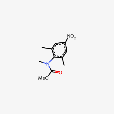 COC(=O)N(C)c1c(C)cc([N+](=O)[O-])cc1C